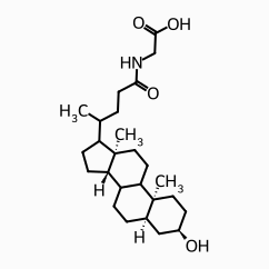 CC(CCC(=O)NCC(=O)O)C1CC[C@H]2C3CC[C@@H]4C[C@H](O)CC[C@]4(C)C3CC[C@]12C